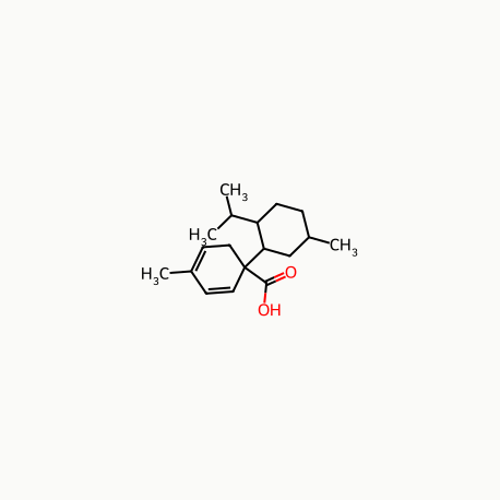 CC1=CCC(C(=O)O)(C2CC(C)CCC2C(C)C)C=C1